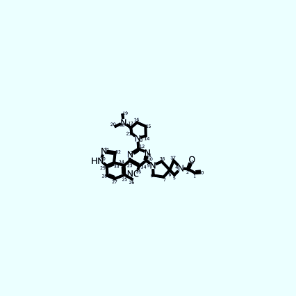 C=CC(=O)N1CC2(CCN(c3nc(N4CCCC(N(C)C)C4)nc(-c4c(C)ccc5[nH]ncc45)c3C#N)C2)C1